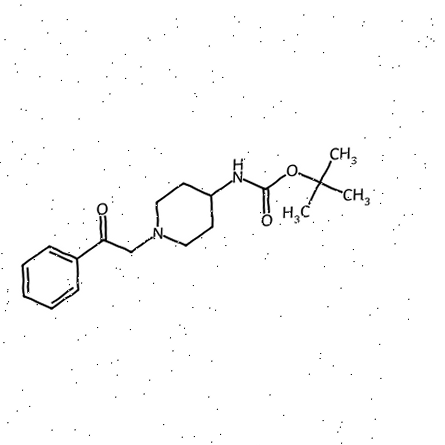 CC(C)(C)OC(=O)NC1CCN(CC(=O)c2ccccc2)CC1